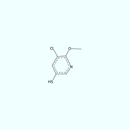 COc1ncc(S)cc1Cl